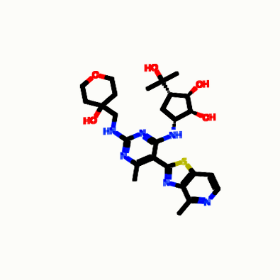 Cc1nc(NCC2(O)CCOCC2)nc(N[C@@H]2C[C@H](C(C)(C)O)[C@@H](O)[C@H]2O)c1-c1nc2c(C)nccc2s1